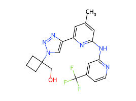 Cc1cc(Nc2cc(C(F)(F)F)ccn2)nc(-c2cn(C3(CO)CCC3)nn2)c1